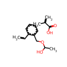 C=C(C)C(=O)O.C=Cc1ccccc1COC(C)O